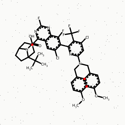 COc1ccc(CN(Cc2ccc(OC)cc2)c2cc(Cl)c(C(F)(F)F)c(-c3c(Cl)cc4c(N5CC6CCC(C(C)(C)C)(C5)N6C(=O)O)nc(F)nc4c3F)n2)cc1